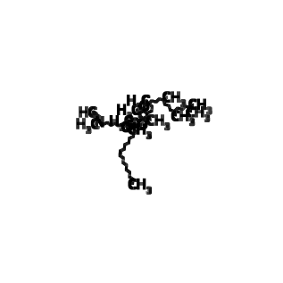 C#CCN(C)CCCCCCO[Si](C)(C)OC(CCCCCCC/C=C\CCCCCCCC)Oc1cc(C)c2c(c1C)CCC(C)(CCCC(C)CCCC(C)CCCC(C)C)O2